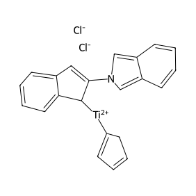 C1=CC[C]([Ti+2][CH]2C(n3cc4ccccc4c3)=Cc3ccccc32)=C1.[Cl-].[Cl-]